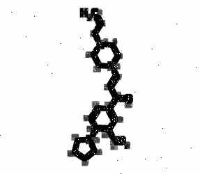 C=CCN1CCN(C=CC(=O)c2ccc(N3CCCC3)c([N+](=O)[O-])c2)CC1